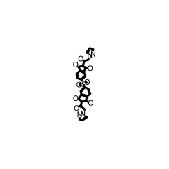 O=C(Cn1cccn1)C1C(=O)c2ccc(S(=O)(=O)c3ccc4c(c3)C(=O)C(C(=O)Cn3cccn3)C4=O)cc2C1=O